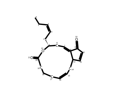 CC/C=C\C[C@@H]1C/C=C2/C(=O)C=CC2C/C=C\CCCC(=O)O1